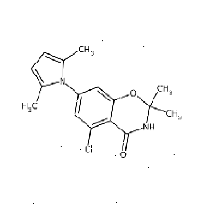 Cc1ccc(C)n1-c1cc(Cl)c2c(c1)OC(C)(C)NC2=O